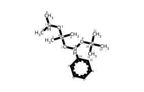 C[SiH](C)O[Si](C)(C)O[SiH](O[Si](C)(C)C)c1ccccc1